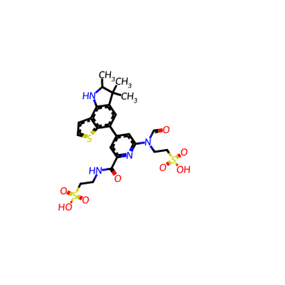 CC1Nc2c(cc(-c3cc(C(=O)NCCS(=O)(=O)O)nc(N(C=O)CCS(=O)(=O)O)c3)c3sccc23)C1(C)C